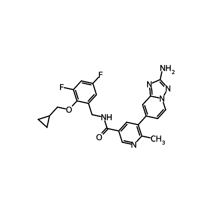 Cc1ncc(C(=O)NCc2cc(F)cc(F)c2OCC2CC2)cc1-c1ccn2nc(N)nc2c1